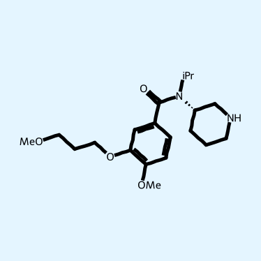 COCCCOc1cc(C(=O)N(C(C)C)[C@H]2CCCNC2)ccc1OC